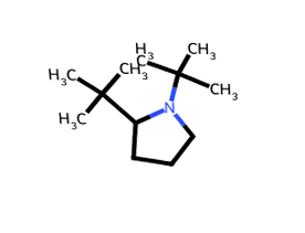 CC(C)(C)C1CCCN1C(C)(C)C